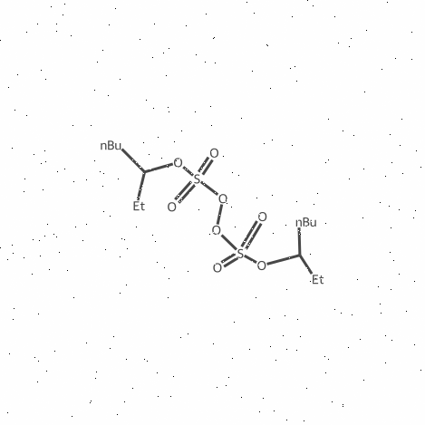 CCCCC(CC)OS(=O)(=O)OOS(=O)(=O)OC(CC)CCCC